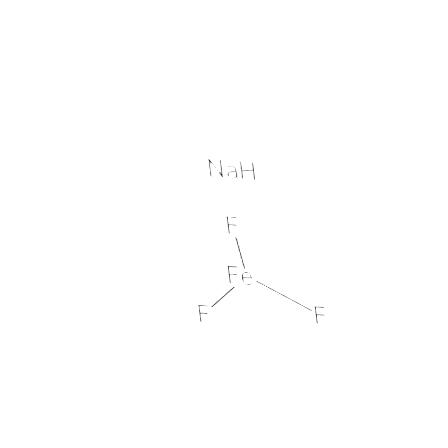 [F][Fe]([F])[F].[NaH]